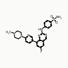 CN1CCN(c2ccc(-c3cc(F)cc4cnc(Nc5ccc(S(N)(=O)=O)cc5)nc34)cn2)CC1